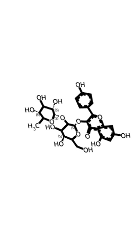 CC1O[C@@H](OC2C(O)[C@H](O)C(CO)O[C@H]2Oc2c(-c3ccc(O)cc3)oc3cc(O)cc(O)c3c2=O)[C@@H](O)C(O)[C@H]1O